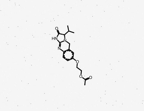 CC(=O)OCCOc1ccc2c(c1)CN1C(=N2)NC(=O)C1C(C)C